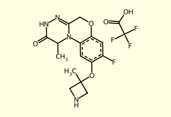 CC1C(=O)NN=C2COc3cc(F)c(OC4(C)CNC4)cc3N21.O=C(O)C(F)(F)F